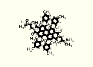 Cc1ccc(Oc2cc3c4c(cc(Oc5ccc(C)cc5C)c5c6c(Oc7ccc(C)cc7C)cc7c8c(cc(Oc9ccc(C)cc9C)c(c2c45)c86)C(=O)N(CC(=O)N(C)C)C7=O)C(=O)N(CC(=O)N(C)C)C3=O)c(C)c1